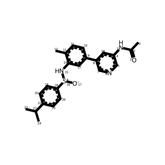 CC(=O)Nc1cncc(-c2ccc(C)c(N[S+]([O-])c3ccc(C(C)C)cc3)c2)c1